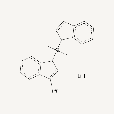 CC(C)C1=CC([Si](C)(C)C2C=Cc3ccccc32)c2ccccc21.[LiH]